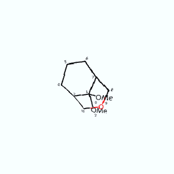 COC1(OC)C2CCCC1COC2